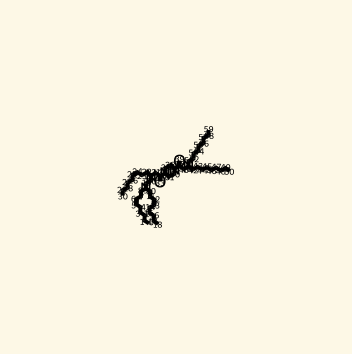 CCCCC/C=C\CCN(CC/C=C\CCCCC)CCN(CC/C=C\CCCCC)CC(=O)N1CCN(C(=O)CN(CCCCCCCCC)CCCCCCCCC)CC1